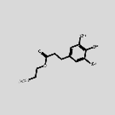 CC(=O)NCCOC(=O)CCc1cc(C(C)(C)C)c(O)c(C(C)(C)C)c1